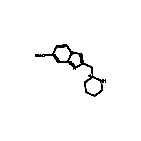 COc1ccn2cc(C[C@@H]3CCCCN3)nc2c1